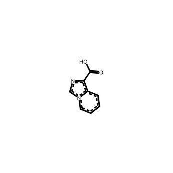 O=C(O)c1ncn2ccccc12